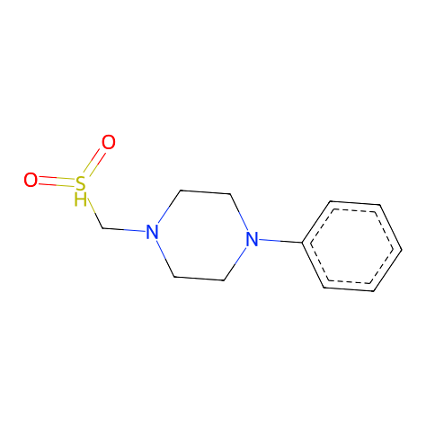 O=[SH](=O)CN1CCN(c2ccccc2)CC1